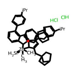 CC(C)c1ccc(-c2cccc3c2C=C(CC24CCC(CC2)C4)[CH]3[Zr]([CH3])([CH3])(=[SiH2])[CH]2C(CC34CCC(CC3)C4)=Cc3c(-c4ccc(C(C)C)cc4)cccc32)cc1.Cl.Cl